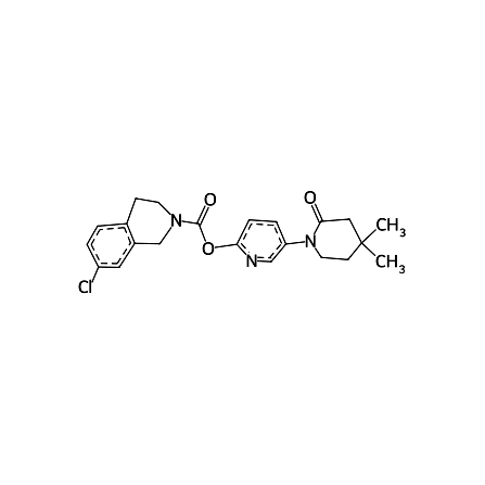 CC1(C)CCN(c2ccc(OC(=O)N3CCc4ccc(Cl)cc4C3)nc2)C(=O)C1